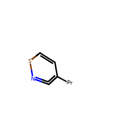 CC(C)C1=C=NSC=C1